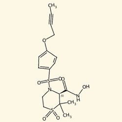 CC#CCOc1ccc(S(=O)(=O)N2CCS(=O)(=O)C(C)(C)[C@@H]2C(=O)NO)cc1